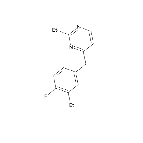 CCc1nccc(Cc2ccc(F)c(CC)c2)n1